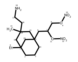 CCC12CCCC(CC(CO[N+](=O)[O-])O[N+](=O)[O-])(CC(C)(CCN)C1)C2